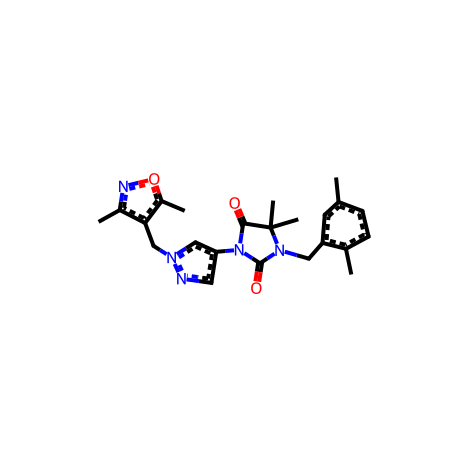 Cc1ccc(C)c(CN2C(=O)N(c3cnn(Cc4c(C)noc4C)c3)C(=O)C2(C)C)c1